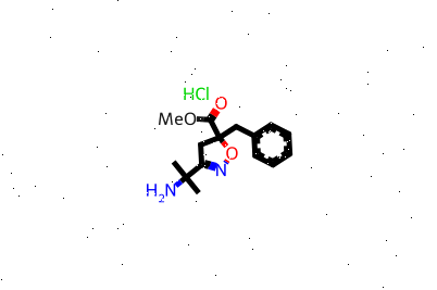 COC(=O)C1(Cc2ccccc2)CC(C(C)(C)N)=NO1.Cl